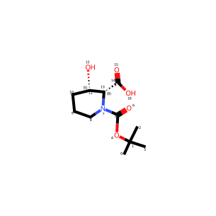 CC(C)(C)OC(=O)N1CCC[C@H](O)[C@@H]1C(=O)O